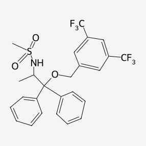 CC(NS(C)(=O)=O)C(OCc1cc(C(F)(F)F)cc(C(F)(F)F)c1)(c1ccccc1)c1ccccc1